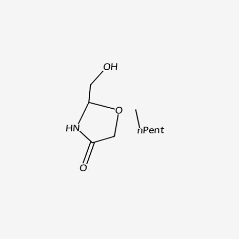 CCCCCC.O=C1COC(CO)N1